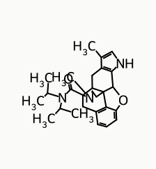 Cc1c[nH]c2c1CC1C34CCN(C)C1(C(=O)N(C(C)C)C(C)C)Cc1cccc(c13)OC24